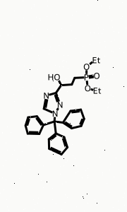 CCOP(=O)(CCC(O)c1ncn(C(c2ccccc2)(c2ccccc2)c2ccccc2)n1)OCC